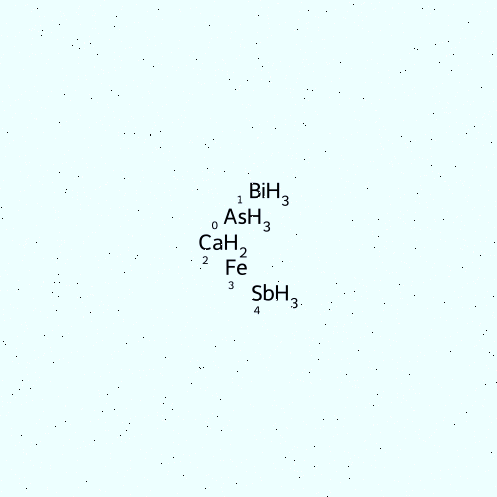 [AsH3].[BiH3].[CaH2].[Fe].[SbH3]